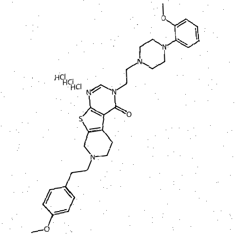 COc1ccc(CCN2CCc3c(sc4ncn(CCN5CCN(c6ccccc6OC)CC5)c(=O)c34)C2)cc1.Cl.Cl.Cl